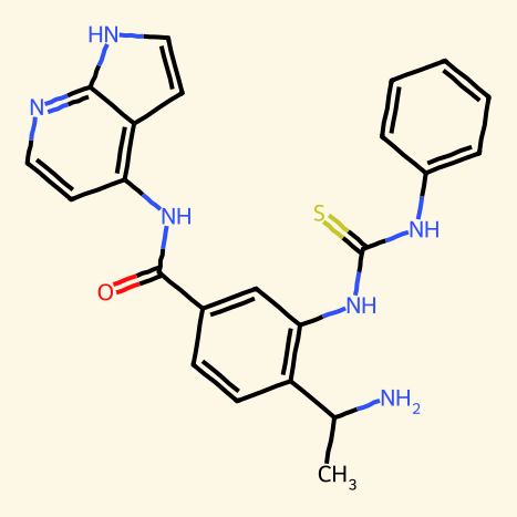 CC(N)c1ccc(C(=O)Nc2ccnc3[nH]ccc23)cc1NC(=S)Nc1ccccc1